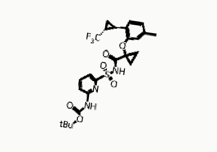 Cc1ccc([C@@H]2C[C@H]2C(F)(F)F)c(OC2(C(=O)NS(=O)(=O)c3cccc(NC(=O)OC(C)(C)C)n3)CC2)c1